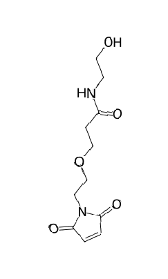 O=C(CCOCCN1C(=O)C=CC1=O)NCCO